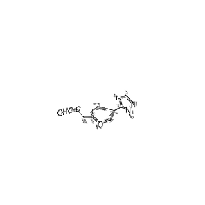 Cn1ncnc1-c1coc(COC=O)c1